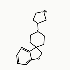 c1ccc2c(c1)OCC21CCN(C2CCNC2)CC1